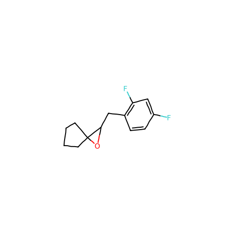 Fc1ccc(CC2OC23CCCC3)c(F)c1